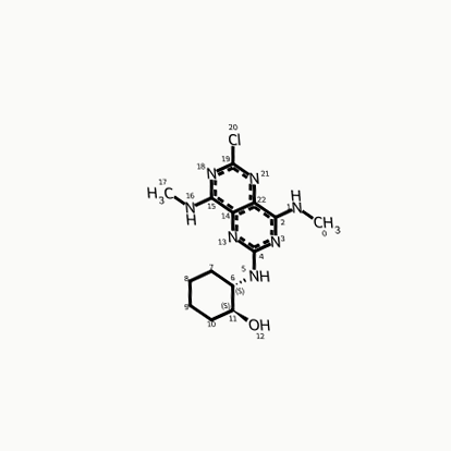 CNc1nc(N[C@H]2CCCC[C@@H]2O)nc2c(NC)nc(Cl)nc12